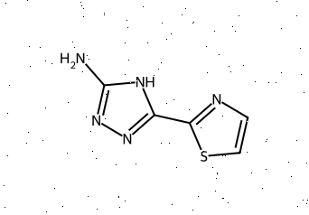 Nc1nnc(-c2nccs2)[nH]1